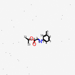 Cc1cccc(N=CC(=O)OC(C)C)c1